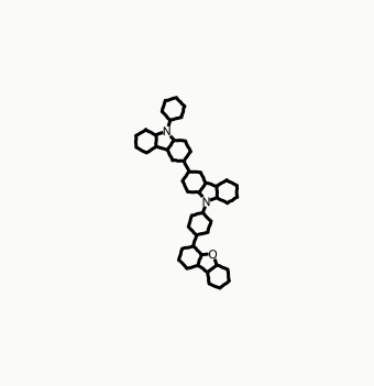 C1CCC(N2C3CCCCC3C3CC(C4CCC5C(C4)C4CCCCC4N5C4CCC(C5CCCC6C7CCCCC7OC56)CC4)CCC32)CC1